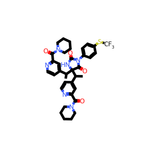 CC(c1ccnc(C(=O)N2CCCCC2)c1)C1(C(C)c2ccnc(C(=O)N3CCCCC3)c2)NC(=O)N(c2ccc(SC(F)(F)F)cc2)C1=O